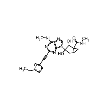 CCc1ccc(C#Cc2nc(NC)c3ncn([C@@]4(O)CC5CC5(C(=O)NC)[C@H]4O)c3n2)o1